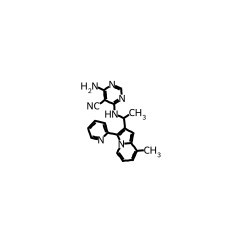 Cc1cccn2c(-c3ccccn3)c(C(C)Nc3ncnc(N)c3C#N)cc12